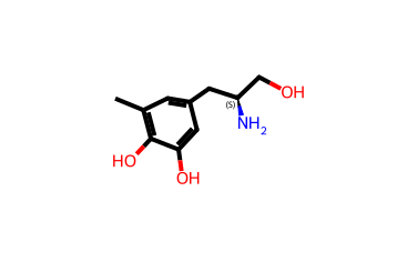 Cc1cc(C[C@H](N)CO)cc(O)c1O